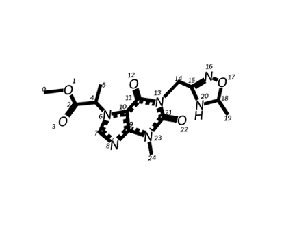 COC(=O)C(C)n1cnc2c1c(=O)n(CC1=NOC(C)N1)c(=O)n2C